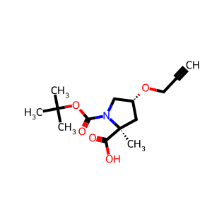 C#CCO[C@H]1CN(C(=O)OC(C)(C)C)[C@](C)(C(=O)O)C1